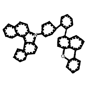 c1ccc2c(c1)Oc1ccc(-c3ccccc3-c3ccc(-n4c5ccc6ccccc6c5c5c6ccccc6ccc54)cc3)c3cccc-2c13